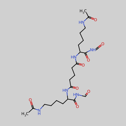 CC(=O)NCCCCC(NC(=O)CCCC(=O)NC(CCCCNC(C)=O)C(=O)NC=O)C(=O)NC=O